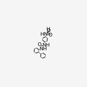 O=C(Nc1ccc(N[SH](=O)=O)cc1)Nc1ccccc1-c1ccccc1